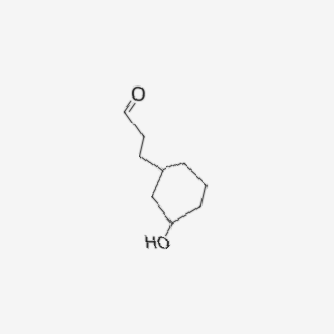 O=CCCC1CCCC(O)C1